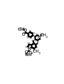 Cc1cc(F)c(C[C@@H]2CCN(C)C[C@H]2c2ccc(C(=O)OC(C)(C)C)cc2)c2ccn(C(=O)OC(C)(C)C)c12